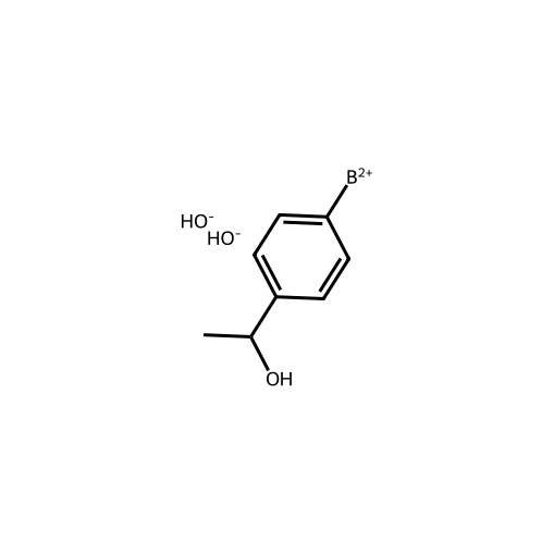 [B+2]c1ccc(C(C)O)cc1.[OH-].[OH-]